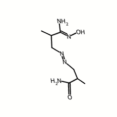 CC(CN=NCC(C)C(N)=NO)C(N)=O